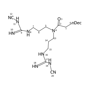 CCCCCCCCCCCC(=O)N(CCCNC(=N)NC#N)CCCNC(=N)NC#N